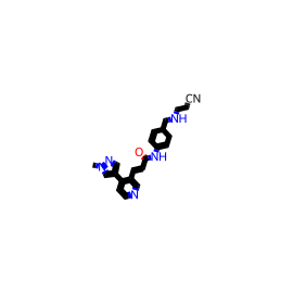 Cn1cc(-c2ccncc2/C=C/C(=O)NC2=CCC(CNCCC#N)C=C2)cn1